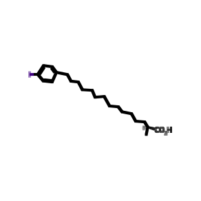 C[C@@H](CCCCCCCCCCCCCc1ccc(I)cc1)C(=O)O